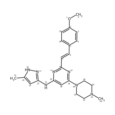 COc1ccc(C=Cc2nc(Nc3cc(C)[nH]n3)cc(N3CCN(C)CC3)n2)cc1